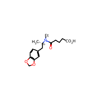 CCN(C(=O)CCCC(=O)O)[C@@H](C)Cc1ccc2c(c1)OCO2